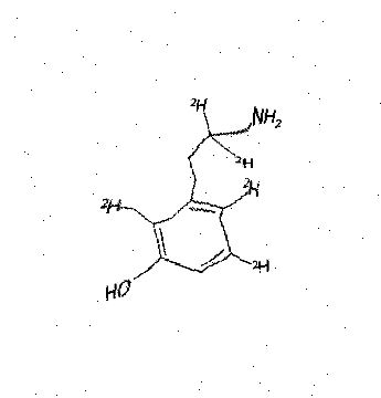 [2H]c1cc(O)c([2H])c(CC([2H])([2H])N)c1[2H]